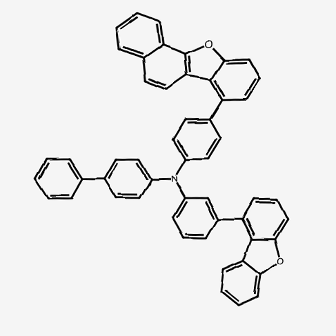 c1ccc(-c2ccc(N(c3ccc(-c4cccc5oc6c7ccccc7ccc6c45)cc3)c3cccc(-c4cccc5oc6ccccc6c45)c3)cc2)cc1